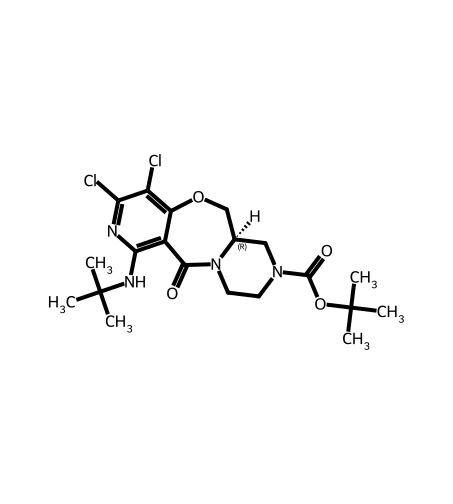 CC(C)(C)Nc1nc(Cl)c(Cl)c2c1C(=O)N1CCN(C(=O)OC(C)(C)C)C[C@@H]1CO2